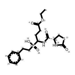 CCOC(=O)CCC(NC(=O)[C@@H]1CSC(=O)N1)P(=O)(O)CCc1ccccc1